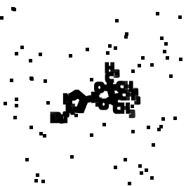 CCC(C)n1cc(B2OC(C)(C)C(C)(C)O2)cn1